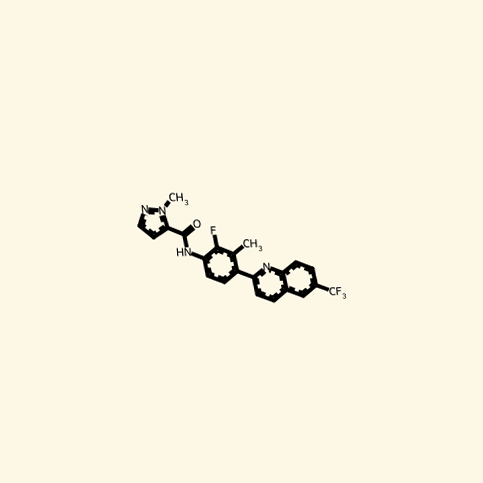 Cc1c(-c2ccc3cc(C(F)(F)F)ccc3n2)ccc(NC(=O)c2ccnn2C)c1F